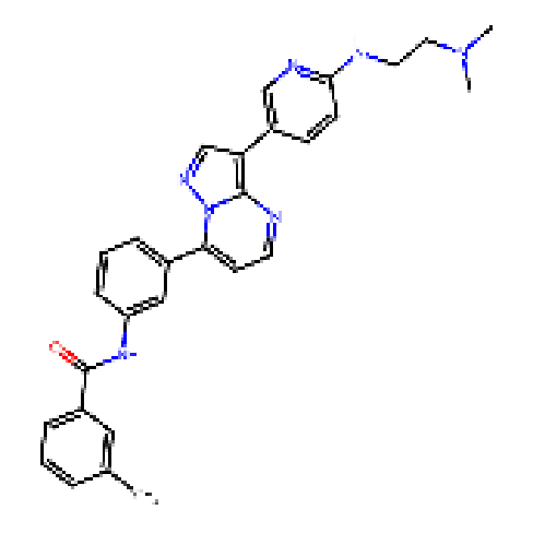 CN(C)CCNc1ccc(-c2cnn3c(-c4cccc(NC(=O)c5cccc(C(F)(F)F)c5)c4)ccnc23)cn1